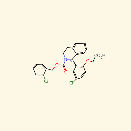 O=C(O)COc1ccc(Cl)cc1[C@@H]1c2ccccc2CCN1C(=O)OCc1ccccc1Cl